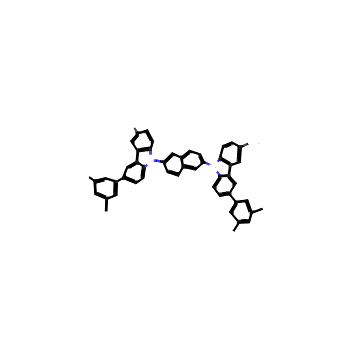 Cc1cc(C)cc(-c2ccc3c(c2)c2cc(C(C)(C)C)ccc2n3-c2ccc3cc(-n4c5ccc(-c6cc(C)cc(C)c6)cc5c5cc(C(C)(C)C)ccc54)ccc3c2)c1